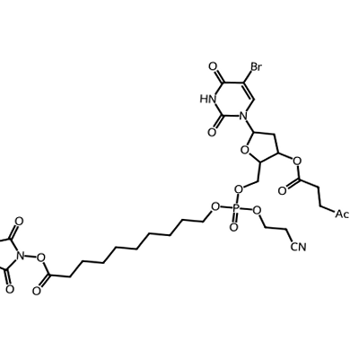 CC(=O)CCC(=O)OC1CC(n2cc(Br)c(=O)[nH]c2=O)OC1COP(=O)(OCCC#N)OCCCCCCCCCC(=O)ON1C(=O)CCC1=O